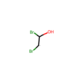 OC(Br)[CH]Br